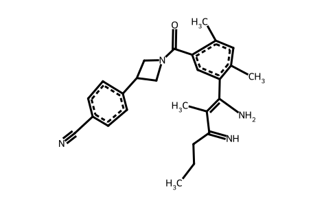 CCCC(=N)/C(C)=C(\N)c1cc(C(=O)N2CC(c3ccc(C#N)cc3)C2)c(C)cc1C